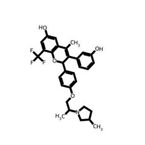 CC1=C(c2cccc(O)c2)C(c2ccc(OCC(C)N3CCC(C)C3)cc2)Oc2c1cc(O)cc2C(F)(F)F